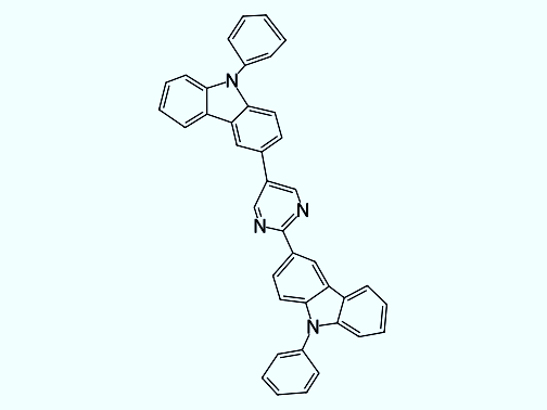 c1ccc(-n2c3ccccc3c3cc(-c4cnc(-c5ccc6c(c5)c5ccccc5n6-c5ccccc5)nc4)ccc32)cc1